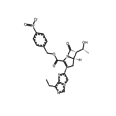 CCc1ncn2cc(C3=C(C(=O)OCc4ccc([N+](=O)[O-])cc4)N4C(=O)[C@H]([C@@H](C)O)[C@H]4C3)sc12